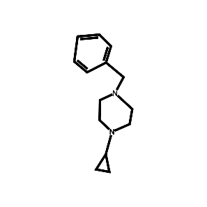 c1ccc(CN2CCN(C3CC3)CC2)cc1